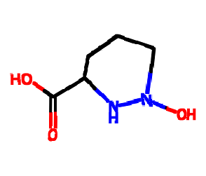 O=C(O)C1CCCN(O)N1